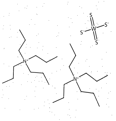 CCC[N+](CCC)(CCC)CCC.CCC[N+](CCC)(CCC)CCC.[S]=[W](=[S])([S-])[S-]